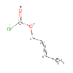 CC=CCOC(=O)Cl